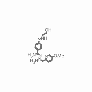 COc1ccc(CN(N)/N=C(\N)c2ccc(SNCCO)cc2)nc1